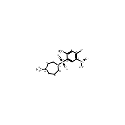 Cc1cc(F)c([N+](=O)[O-])cc1S(=O)(=O)N1CCCN(C)CC1